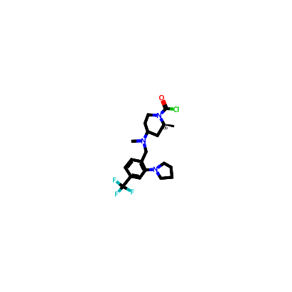 C[C@H]1CC(N(C)Cc2ccc(C(F)(F)F)cc2N2CCCC2)CCN1C(=O)Cl